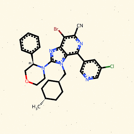 C[C@H]1CC[C@H](Cn2c(N3CCOC[C@H]3c3ccccc3)nc3c(Br)c(C#N)nc(-c4cncc(Cl)c4)c32)CC1